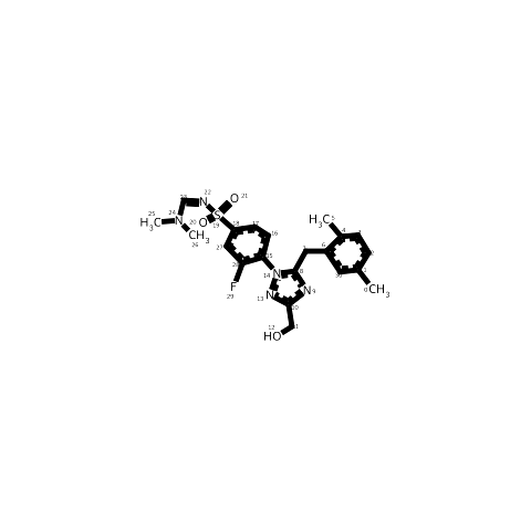 Cc1ccc(C)c(Cc2nc(CO)nn2-c2ccc(S(=O)(=O)/N=C\N(C)C)cc2F)c1